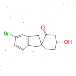 O=C1CC(O)CCC12Cc1ccc(Br)cc1C2